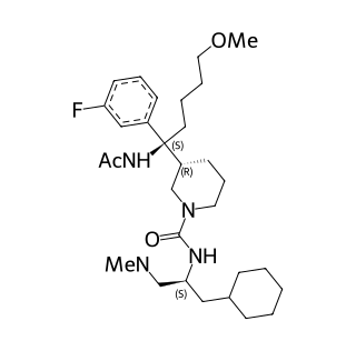 CNC[C@H](CC1CCCCC1)NC(=O)N1CCC[C@@H]([C@](CCCCOC)(NC(C)=O)c2cccc(F)c2)C1